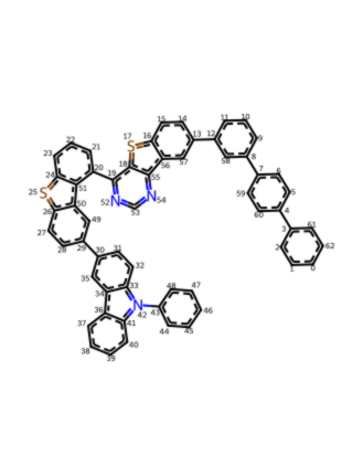 c1ccc(-c2ccc(-c3cccc(-c4ccc5sc6c(-c7cccc8sc9ccc(-c%10ccc%11c(c%10)c%10ccccc%10n%11-c%10ccccc%10)cc9c78)ncnc6c5c4)c3)cc2)cc1